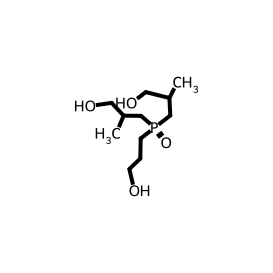 CC(CO)CP(=O)(CCCO)CC(C)CO